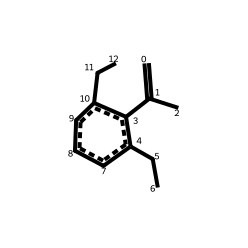 C=C(C)c1c(CC)cccc1CC